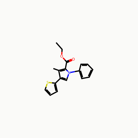 CCOC(=O)c1c(C)c(-c2cccs2)cn1-c1ccccc1